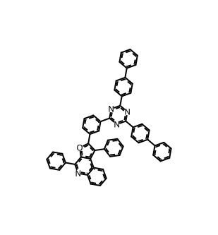 c1ccc(-c2ccc(-c3nc(-c4ccc(-c5ccccc5)cc4)nc(-c4cccc(-c5oc6c(-c7ccccc7)nc7ccccc7c6c5-c5ccccc5)c4)n3)cc2)cc1